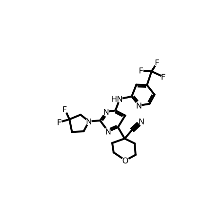 N#CC1(c2cc(Nc3cc(C(F)(F)F)ccn3)nc(N3CCC(F)(F)C3)n2)CCOCC1